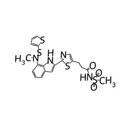 CN(Sc1cccs1)c1cccc2cc(-c3ncc(CCC(=O)NS(C)(=O)=O)s3)[nH]c12